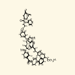 CN1C(=O)C[C@H](C(=O)NCCOC2CCC(OCCCC(=O)NC3CCC(C(=O)N4CCN(c5cccc([C@H](CC(=O)O)CN6CC[C@@H](CCc7ccc8c(n7)NCCC8)C6)c5)CC4)CC3)CC2)[C@H]1c1cccnc1